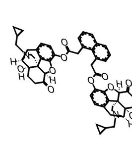 O=C(Cc1cccc2cccc(CC(=O)Oc3ccc4c5c3O[C@H]3C(=O)CC[C@@]6(O)[C@@H](C4)N(CC4CC4)CC[C@]536)c12)Oc1ccc2c3c1O[C@H]1C(=O)CC[C@@]4(O)[C@@H](C2)N(CC2CC2)CC[C@]314